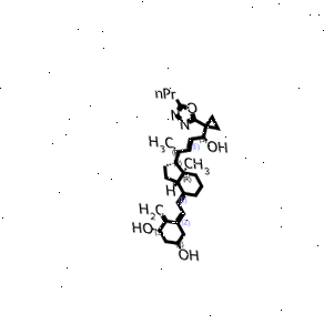 C=C1/C(=C\C=C2/CCC[C@]3(C)[C@@H]([C@H](C)/C=C/[C@H](O)C4(c5nnc(CCC)o5)CC4)CC[C@@H]23)C[C@@H](O)C[C@@H]1O